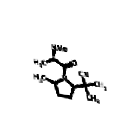 CN[C@H](C)C(=O)N1C(C)CCC1C(C)(C)C#N